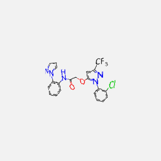 O=C(COc1cc(C(F)(F)F)nn1-c1ccccc1Cl)Nc1ccccc1-n1cccn1